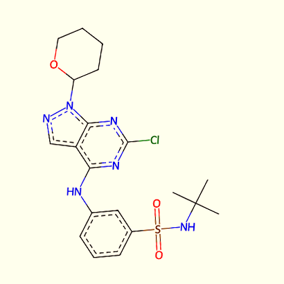 CC(C)(C)NS(=O)(=O)c1cccc(Nc2nc(Cl)nc3c2cnn3C2CCCCO2)c1